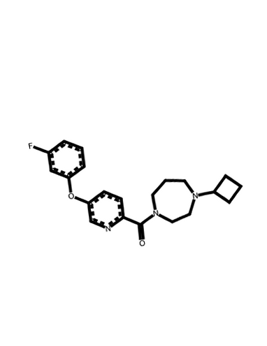 O=C(c1ccc(Oc2cccc(F)c2)cn1)N1CCCN(C2CCC2)CC1